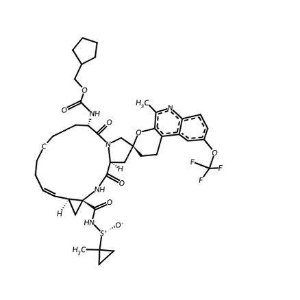 Cc1nc2ccc(OC(F)(F)F)cc2c2c1O[C@]1(CC2)C[C@H]2C(=O)N[C@]3(C(=O)N[S@+]([O-])C4(C)CC4)C[C@H]3/C=C\CCCCC[C@H](NC(=O)OCC3CCCC3)C(=O)N2C1